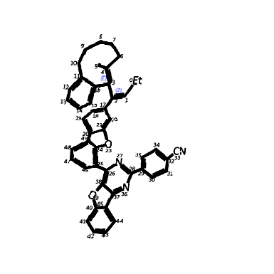 CC/C=C(\C1=C(\C)CCCCCc2ccccc21)c1ccc2c(c1)oc1c(-c3nc(-c4ccc(C#N)cc4)nc4c3oc3ccccc34)cccc12